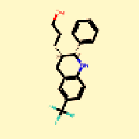 OCCC[C@H]1Cc2cc(C(F)(F)F)ccc2N[C@H]1c1ccccc1